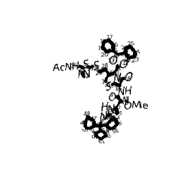 CON=C(C(=O)NC1C(=O)N2C(C(=O)OC(c3ccccc3)c3ccccc3)=C(C=CSc3nnc(NC(C)=O)s3)CSC12)c1csc(NC(c2ccccc2)(c2ccccc2)c2ccccc2)n1